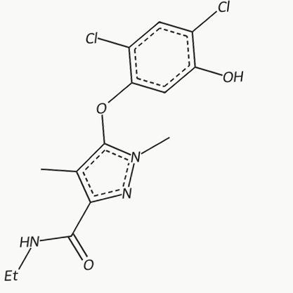 CCNC(=O)c1nn(C)c(Oc2cc(O)c(Cl)cc2Cl)c1C